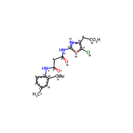 Cc1ccc(NC(=O)CC(=O)Nc2nc(CC(=O)O)c(Cl)s2)c(OCC(C)C)c1